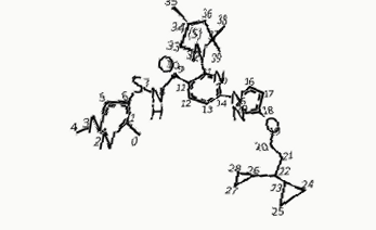 Cc1nn(C)cc1SNC(=O)c1ccc(-n2ccc(OCCC(C3CC3)C3CC3)n2)nc1N1C[C@@H](C)CC1(C)C